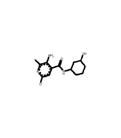 Nc1c(C(=O)NC2CCCC(O)C2)cc(Cl)nc1I